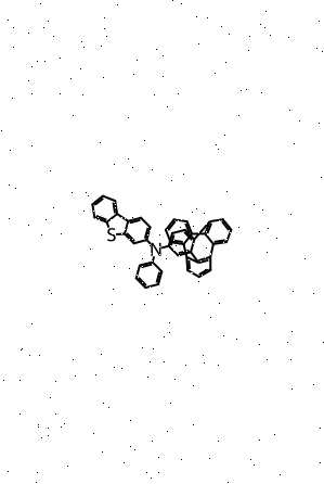 c1ccc(N(c2ccc3c(c2)-c2c4cccc2-c2cccc-3c2-c2ccccc2-4)c2ccc3c(c2)sc2ccccc23)cc1